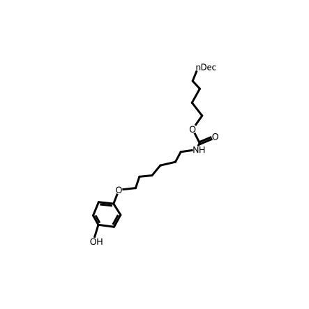 CCCCCCCCCCCCCCOC(=O)NCCCCCCOc1ccc(O)cc1